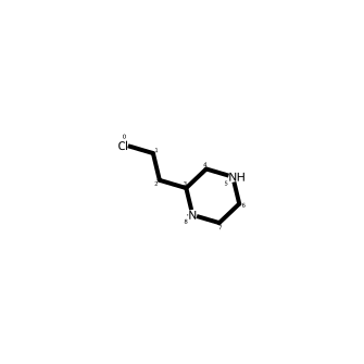 ClCCC1CNCC[N]1